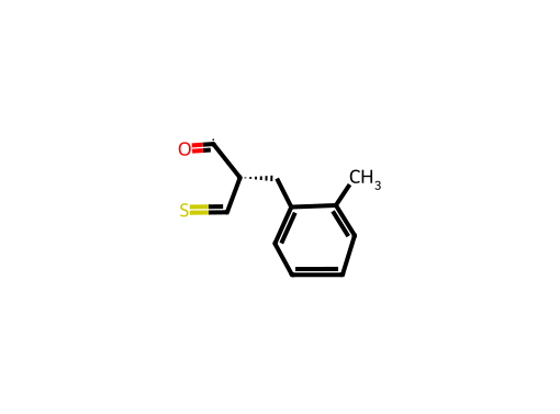 Cc1ccccc1C[C@@H]([C]=O)C=S